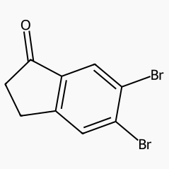 O=C1CCc2cc(Br)c(Br)cc21